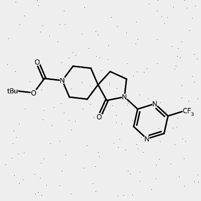 CC(C)(C)OC(=O)N1CCC2(CC1)CCN(c1cncc(C(F)(F)F)n1)C2=O